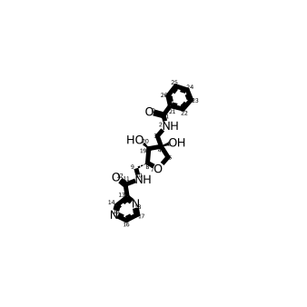 O=C(NC[C@]1(O)CO[C@H](CNC(=O)c2cnccn2)[C@H]1O)c1ccccc1